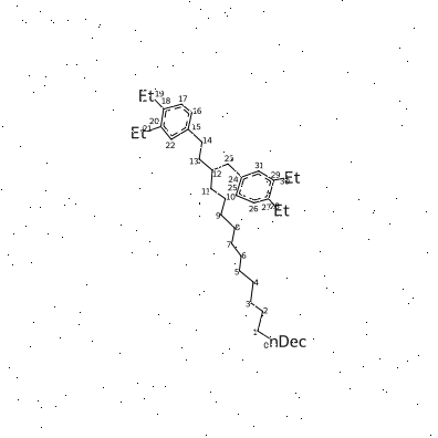 CCCCCCCCCCCCCCCCCCCCCC([CH]Cc1ccc(CC)c(CC)c1)Cc1ccc(CC)c(CC)c1